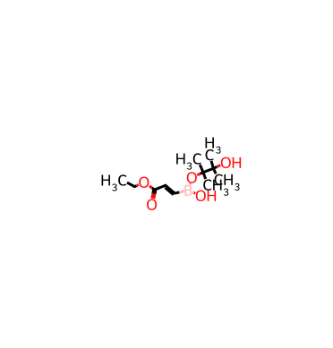 CCOC(=O)C=CB(O)OC(C)(C)C(C)(C)O